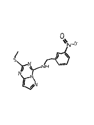 CSc1nc(NCc2cccc([N+](=O)[O-])c2)n2nccc2n1